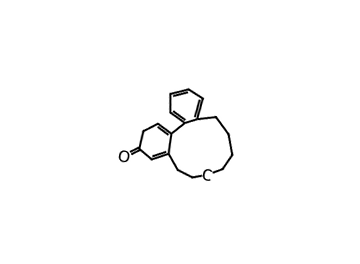 O=C1C=C2CCCCCCCc3ccccc3C2=CC1